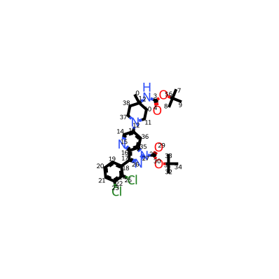 CC1(NC(=O)OC(C)(C)C)CCN(c2cnc3c(-c4cccc(Cl)c4Cl)nn(C(=O)OC(C)(C)C)c3c2)CC1